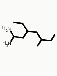 CCC(C)CC(CC)CC(N)N